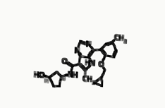 Cc1ccc(OCC2CC2)c(-c2ncnc3c(C(=O)N[C@H]4CC[C@@H](O)C4)c(C)[nH]c23)c1